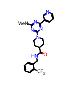 CNc1nc(-c2cccnc2)nc(N2CCC(C(=O)NCc3ccccc3C(F)(F)F)CC2)n1